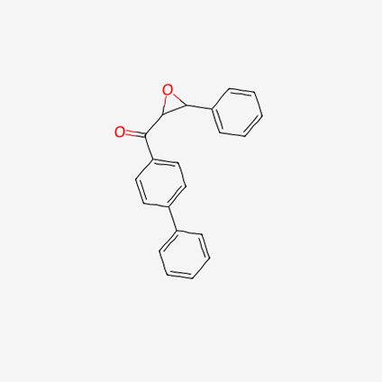 O=C(c1ccc(-c2ccccc2)cc1)C1OC1c1ccccc1